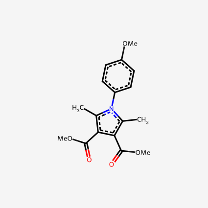 COC(=O)c1c(C(=O)OC)c(C)n(-c2ccc(OC)cc2)c1C